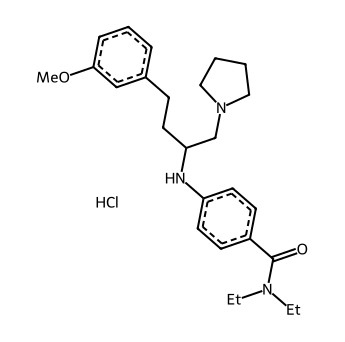 CCN(CC)C(=O)c1ccc(NC(CCc2cccc(OC)c2)CN2CCCC2)cc1.Cl